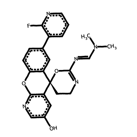 CN(C)/C=N/C1=NCC[C@]2(O1)c1cc(-c3cccnc3F)ccc1Oc1ncc(O)cc12